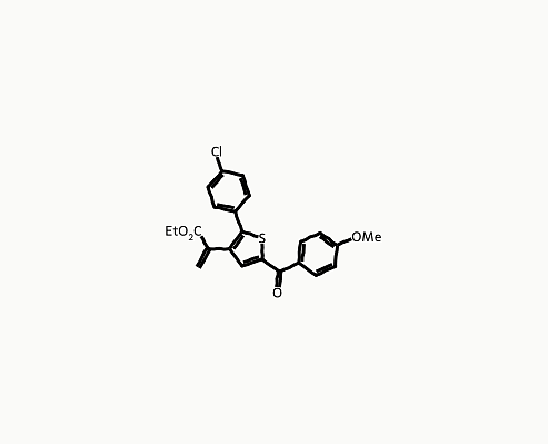 C=C(C(=O)OCC)c1cc(C(=O)c2ccc(OC)cc2)sc1-c1ccc(Cl)cc1